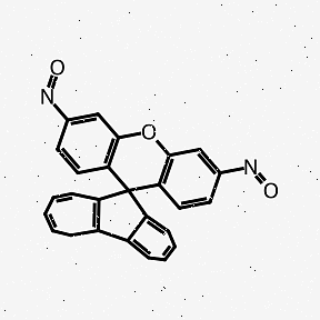 O=Nc1ccc2c(c1)Oc1cc(N=O)ccc1C21C2=C(CC=CC=C2)c2ccccc21